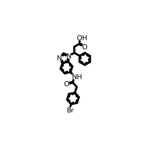 O=C(O)CC(c1ccccc1)n1cnc2ccc(NC(=O)Cc3ccc(Br)cc3)cc21